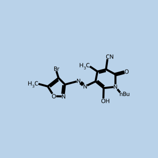 CCCCn1c(O)c(N=Nc2noc(C)c2Br)c(C)c(C#N)c1=O